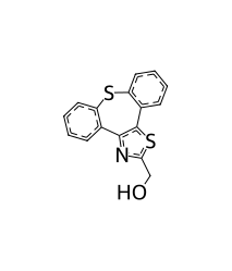 OCc1nc2c(s1)-c1ccccc1Sc1ccccc1-2